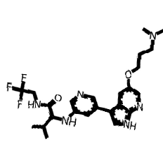 CC(C)C(Nc1cncc(-c2c[nH]c3ncc(OCCCN(C)C)cc23)c1)C(=O)NCC(F)(F)F